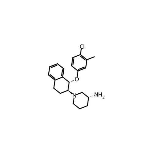 Cc1cc(O[C@H]2c3ccccc3CC[C@@H]2N2CCC[C@@H](N)C2)ccc1Cl